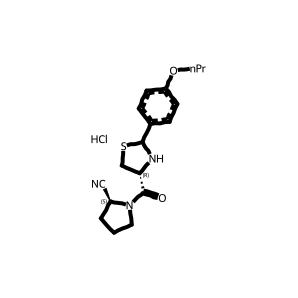 CCCOc1ccc(C2N[C@H](C(=O)N3CCC[C@H]3C#N)CS2)cc1.Cl